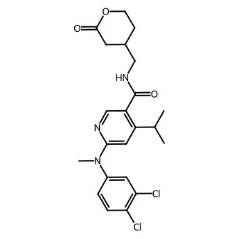 CC(C)c1cc(N(C)c2ccc(Cl)c(Cl)c2)ncc1C(=O)NCC1CCOC(=O)C1